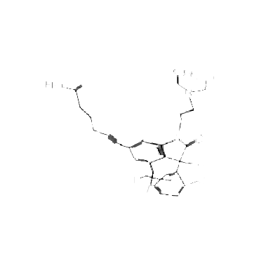 CCN(CC)CCN1C(=O)C(O)(c2ccccc2Cl)c2c1cc(C#CCCCC(=O)O)cc2C(F)(F)F